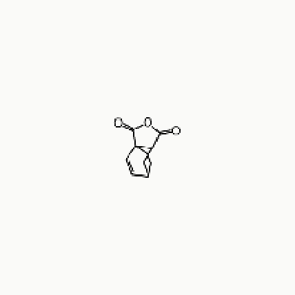 O=C1OC(=O)C23C=CC(CC2)CC13